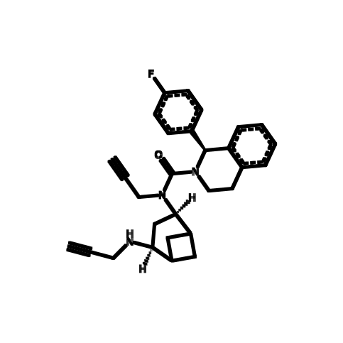 C#CCN[C@H]1C[C@@H](N(CC#C)C(=O)N2CCc3ccccc3[C@@H]2c2ccc(F)cc2)C2CC1C2